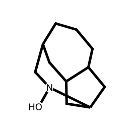 ON1CC2CCCC3CC1CC3C2